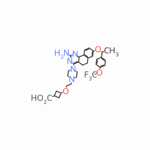 CC(Oc1ccc2c(c1)CCc1c-2nc(N)nc1N1CCN(CCOC2CC(C(=O)O)C2)CC1)c1ccc(OC(F)(F)F)cc1